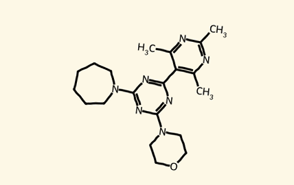 Cc1nc(C)c(-c2nc(N3CCCCCC3)nc(N3CCOCC3)n2)c(C)n1